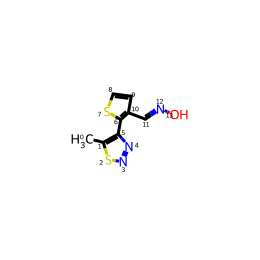 Cc1snnc1-c1sccc1C=NO